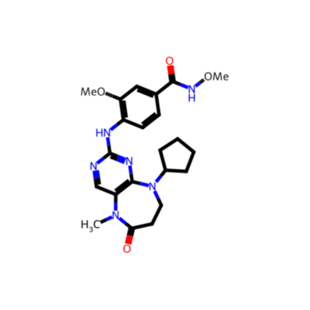 CONC(=O)c1ccc(Nc2ncc3c(n2)N(C2CCCC2)CCC(=O)N3C)c(OC)c1